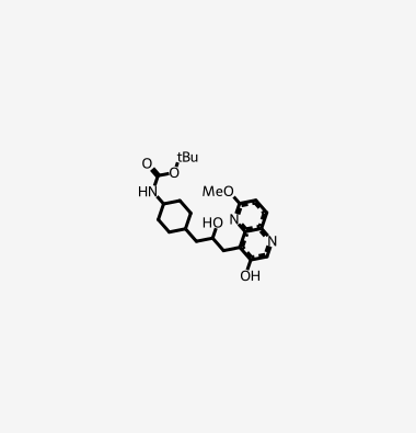 COc1ccc2ncc(O)c(CC(O)CC3CCC(NC(=O)OC(C)(C)C)CC3)c2n1